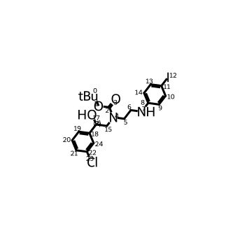 CC(C)(C)OC(=O)N(CCNc1ccc(I)cc1)C[C@H](O)c1cccc(Cl)c1